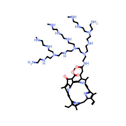 C=CC1=C(C)C2=NC1Cc1[nH]c(c(CC)c1C)/C=C1N=C3C(=C\1C)C(=O)C(C(=O)OC)/C3=C1/N/C(=C\2)C(C)C1CCC(=O)NCCN(CCNCCN(CCN)CCNCCNC)CCN(CCNCCNCCNC)CCNCCN(CCNCCN)CCNCCNC